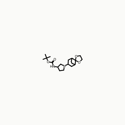 CC(C)(C)OC(=O)NC1CCN(C2CC3CCC(C2)C32OCCO2)C1